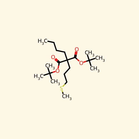 CCCCC(CCCSC)(C(=O)OC(C)(C)C)C(=O)OC(C)(C)C